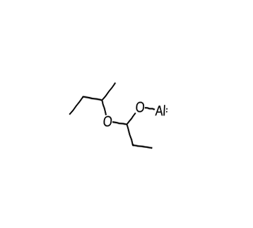 CCC(C)OC(CC)[O][Al]